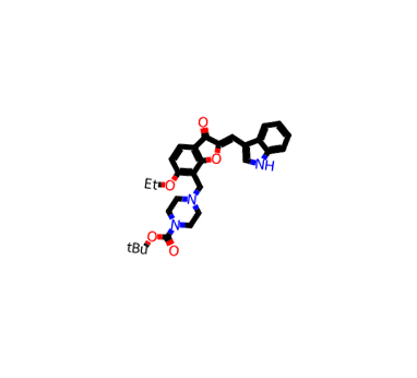 CCOc1ccc2c(c1CN1CCN(C(=O)OC(C)(C)C)CC1)O/C(=C\c1c[nH]c3ccccc13)C2=O